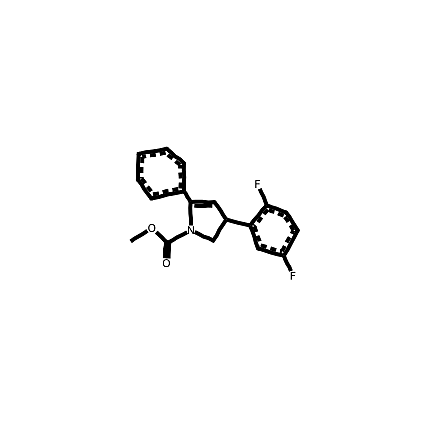 COC(=O)N1CC(c2cc(F)ccc2F)C=C1c1ccccc1